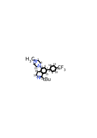 CN1CCN(c2cc(-c3ccc(C(F)(F)F)cc3)cc3c2CCN=C3C(C)(C)C)CC1